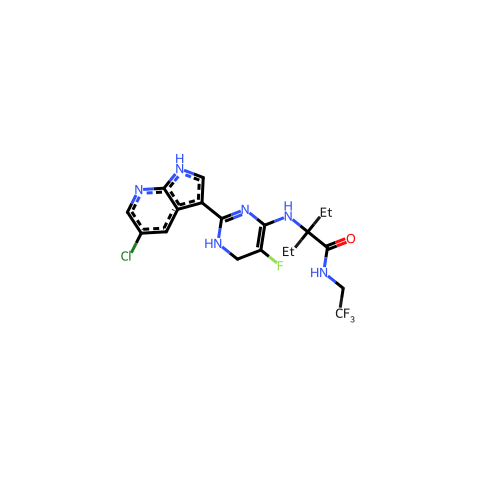 CCC(CC)(NC1=C(F)CNC(c2c[nH]c3ncc(Cl)cc23)=N1)C(=O)NCC(F)(F)F